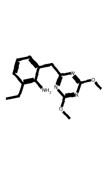 CCc1cccc(Cc2nc(OC)nc(OC)n2)c1N